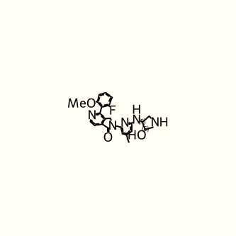 COc1cccc(F)c1-c1nccc2c1CN(c1cc(C)cc(N[C@H]3CNC[C@@H]3O)n1)C2=O